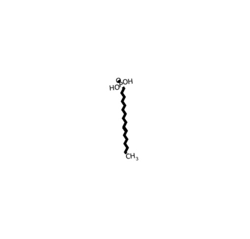 CCCCCCC=CCCCCCCCCCP(=O)(O)O